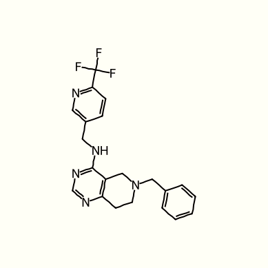 FC(F)(F)c1ccc(CNc2ncnc3c2CN(Cc2ccccc2)CC3)cn1